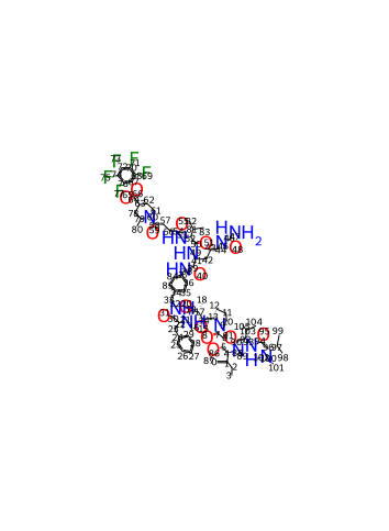 C=C(CC)[C@@H]([C@@H](CC(=O)N1CCC[C@H]1[C@H](OC)[C@@H](C)C(=O)N[C@@H](Cc1ccccc1)C(=O)NCc1ccc(NC(=O)[C@H](CCCNC(N)=O)NC(=O)[C@@H](NC(=O)CCC(=O)N2CCC(C(=O)Oc3c(F)c(F)c(F)c(F)c3F)CC2C)C(C)C)cc1)OC)N(C)C(=O)[C@@H](NC(=O)[C@H](C(C)C)N(C)C)C(C)C